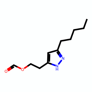 CCCCCc1cc(CCOC=O)[nH]n1